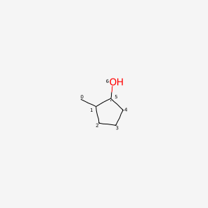 CC1CCC[C]1O